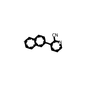 N#Cc1ncccc1-c1ccc2c[c]ccc2c1